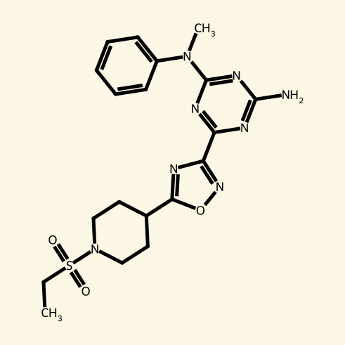 CCS(=O)(=O)N1CCC(c2nc(-c3nc(N)nc(N(C)c4ccccc4)n3)no2)CC1